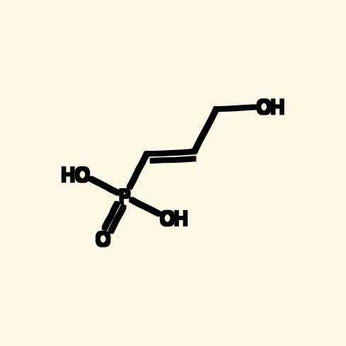 O=P(O)(O)/C=C/CO